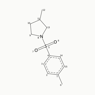 Cc1ccc(S(=O)(=O)N2CCC(C)C2)cc1